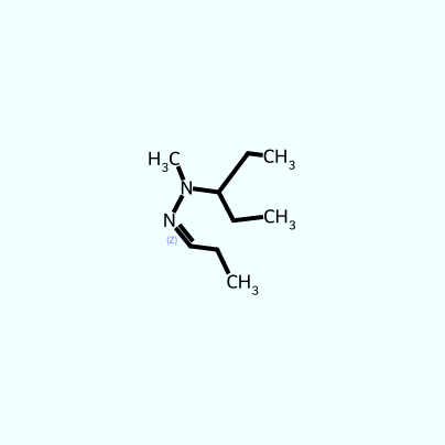 CC/C=N\N(C)C(CC)CC